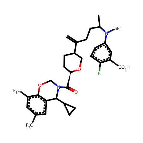 C=C(CCC(C)N(CCC)c1ccc(F)c(C(=O)O)c1)C1CC[C@H](C(=O)N2COc3c(cc(C(F)(F)F)cc3C(F)(F)F)C2C2CC2)OC1